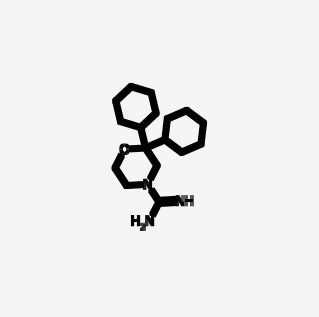 N=C(N)N1CCOC(C2CCCCC2)(C2CCCCC2)C1